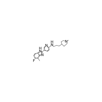 Cc1c(F)ccc2[nH]c(-c3ccc(NCCCC4CCN(C)CC4)nc3)nc12